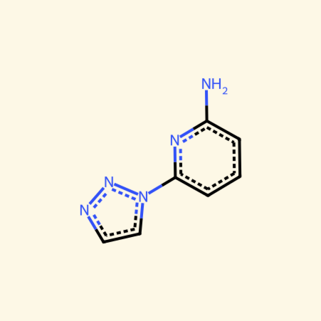 Nc1cccc(-n2ccnn2)n1